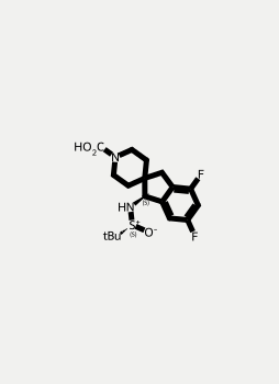 CC(C)(C)[S@@+]([O-])N[C@@H]1c2cc(F)cc(F)c2CC12CCN(C(=O)O)CC2